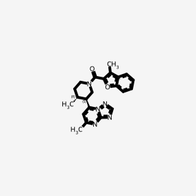 Cc1cc([C@@H]2CN(C(=O)c3oc4ccccc4c3C)CC[C@H]2C)n2ncnc2n1